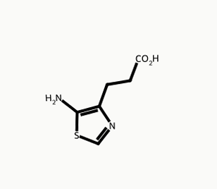 Nc1scnc1CCC(=O)O